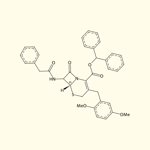 COc1ccc(OC)c(CC2=C(C(=O)OC(c3ccccc3)c3ccccc3)N3C(=O)C(NC(=O)Cc4ccccc4)[C@H]3SC2)c1